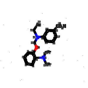 CCCN(CCC)c1ccccc1OCN(CC(C)=O)c1cccc(C(=O)O)c1